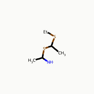 CCSC(C)SC(C)[NH]